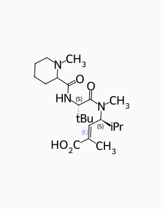 C/C(=C\[C@H](C(C)C)N(C)C(=O)[C@@H](NC(=O)C1CCCCN1C)C(C)(C)C)C(=O)O